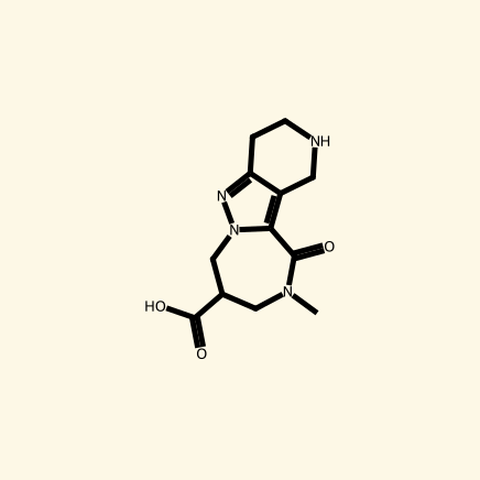 CN1CC(C(=O)O)Cn2nc3c(c2C1=O)CNCC3